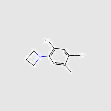 Cc1cc(N2CCC2)c(C#N)cc1C(C)C